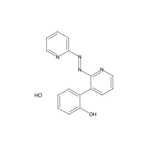 Cl.Oc1ccccc1-c1cccnc1N=Nc1ccccn1